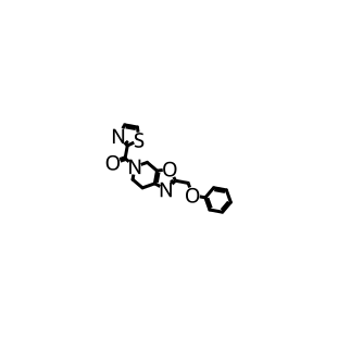 O=C(c1nccs1)N1CCc2nc(COc3ccccc3)oc2C1